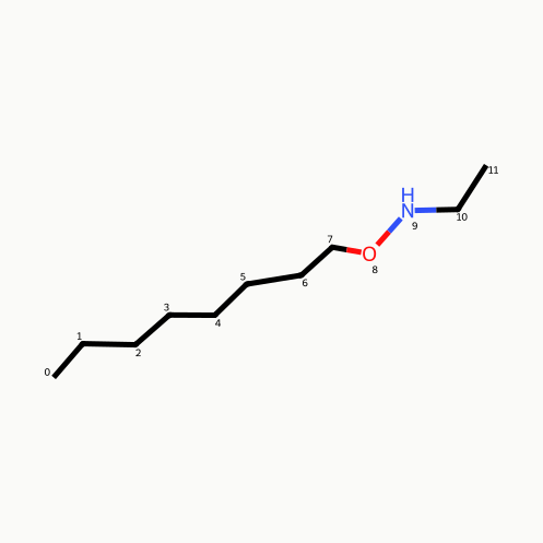 CCCCCCCCONCC